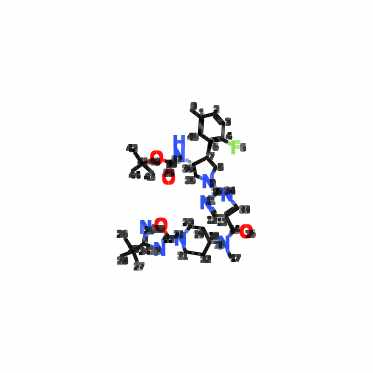 Cc1ccc(F)c([C@H]2CN(c3ncc(C(=O)N(C)C4CCN(c5nc(C(C)(C)C)no5)CC4)cn3)C[C@@H]2NC(=O)OC(C)(C)C)c1